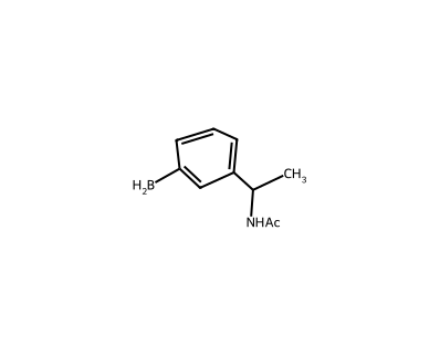 Bc1cccc(C(C)NC(C)=O)c1